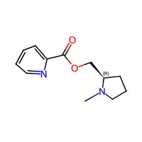 CN1CCC[C@@H]1COC(=O)c1ccccn1